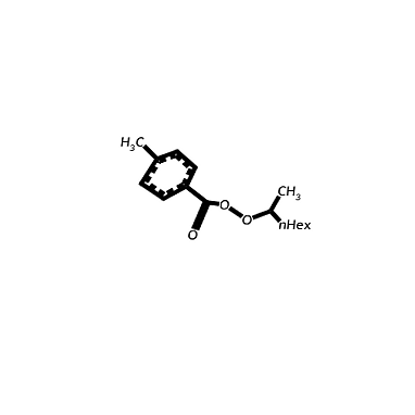 CCCCCC[C](C)OOC(=O)c1ccc(C)cc1